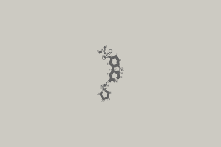 CN(C)S(=O)(=O)c1ccc2c(c1)-c1cc(=C=NN3CCCC3)ncc1=N2